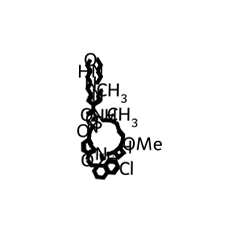 CO[C@H]1/C=C/C[C@H](C)C[S@@](=O)(NC(=O)c2cc(CN3CCN4CCOC[C@@H]4C3)n(C)c2)=NC(=O)c2ccc3c(c2)N(C[C@@H]2CC[C@H]21)C[C@@]1(CCCc2cc(Cl)ccc21)CO3